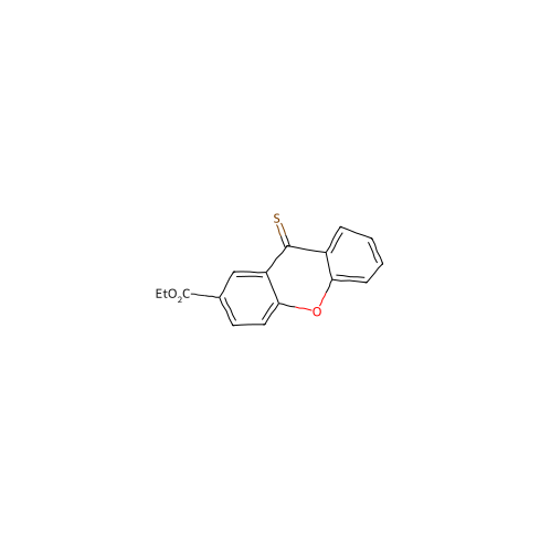 CCOC(=O)c1ccc2oc3ccccc3c(=S)c2c1